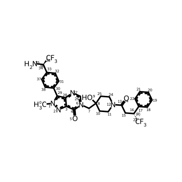 Cn1nc2c(=O)n(CC3(O)CCN(C(=O)C[C@H](c4ccccc4)C(F)(F)F)CC3)cnc2c1-c1ccc([C@@H](N)C(F)(F)F)cc1